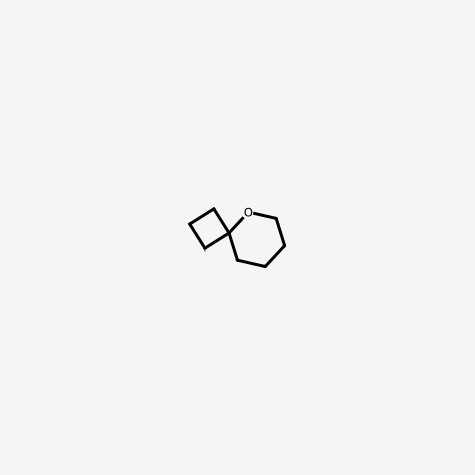 [CH]1CCC12CCCCO2